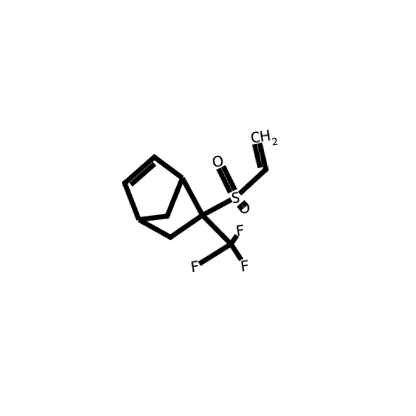 C=CS(=O)(=O)C1(C(F)(F)F)CC2C=CC1C2